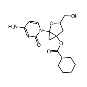 Nc1ccn(C23CC2(OC(=O)C2CCCCC2)CC(CO)O3)c(=O)n1